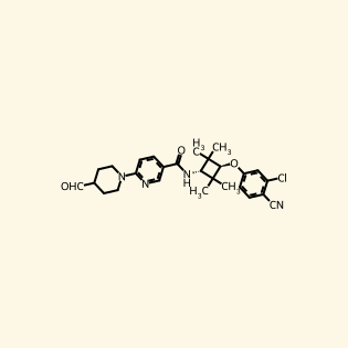 CC1(C)[C@H](NC(=O)c2ccc(N3CCC(C=O)CC3)nc2)C(C)(C)[C@H]1Oc1ccc(C#N)c(Cl)c1